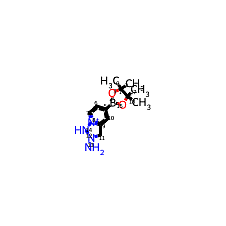 CC1(C)OB(c2cc[n+]3c(c2)CN(N)N3)OC1(C)C